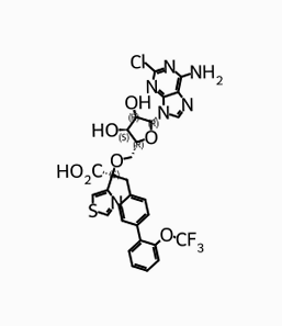 Nc1nc(Cl)nc2c1ncn2[C@@H]1O[C@H](CO[C@](Cc2ccc(-c3ccccc3OC(F)(F)F)cc2)(C(=O)O)c2cscn2)[C@@H](O)[C@H]1O